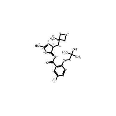 CC(C)(O)COc1ccc(C(F)(F)F)cc1C(=O)/N=c1\sc(C(C)(C)C)nn1CC1(C)COC1